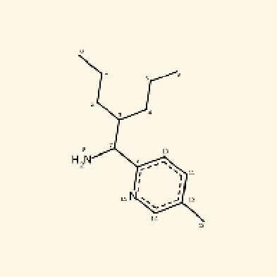 CCCC(CCC)C(N)c1ccc(C)cn1